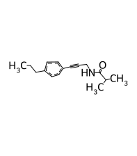 CCCc1ccc(C#CCNC(=O)C(C)C)cc1